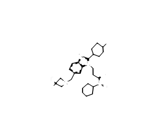 CCC1CCC(c2nc3ccc(CN4CC(F)(F)C4)cc3n2CCC(=O)N(CC)C2CCCCC2)CC1